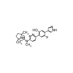 CN(c1ccc(-c2cc(F)c(-c3cn[nH]c3)cc2O)nn1)C1C[C@]2(C)CC[C@](C)(C1)N2